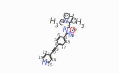 CC(c1nc(-c2ccc(C#Cc3ccncc3)cc2)no1)N(C)C